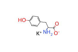 N[C@@H](Cc1ccc(O)cc1)C(=O)[O-].[K+]